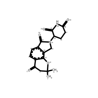 CC1(C)CC(=O)c2ccc3c(c2O1)CN(C1CCC(=O)NC1=O)C3=O